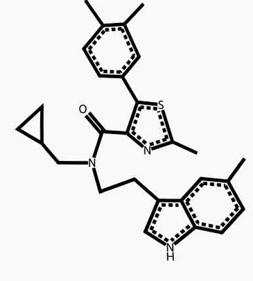 Cc1ccc2[nH]cc(CCN(CC3CC3)C(=O)c3nc(C)sc3-c3ccc(C)c(C)c3)c2c1